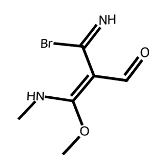 CN/C(OC)=C(/C=O)C(=N)Br